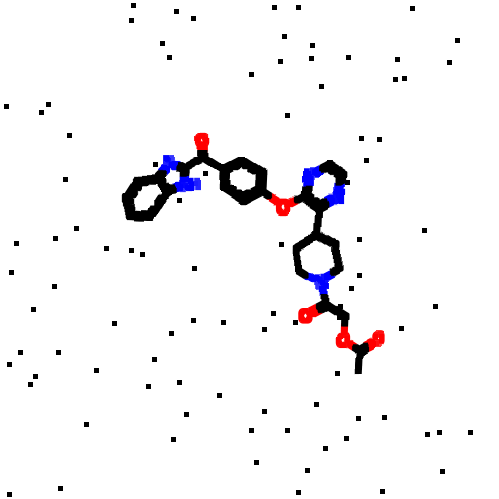 CC(=O)OCC(=O)N1CCC(c2nccnc2Oc2ccc(C(=O)c3nc4ccccc4[nH]3)cc2)CC1